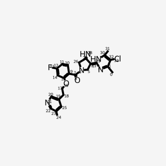 CC1=N/C(=C2\CN(C(=O)c3ccc(F)cc3OCCc3cncc(C)c3)CC2=N)NC(C)=C1Cl